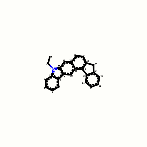 CCn1c2ccccc2c2cc3c4c(ccc3cc21)Cc1ccccc1-4